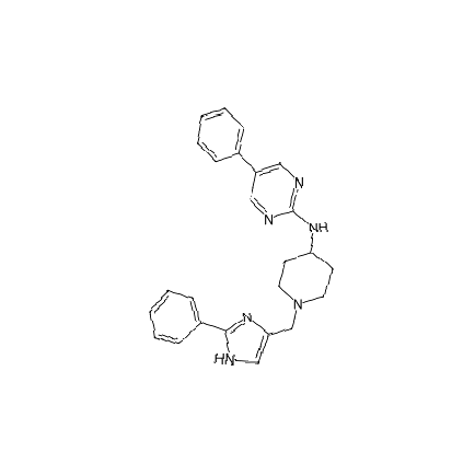 c1ccc(-c2cnc(NC3CCN(Cc4c[nH]c(-c5ccccc5)n4)CC3)nc2)cc1